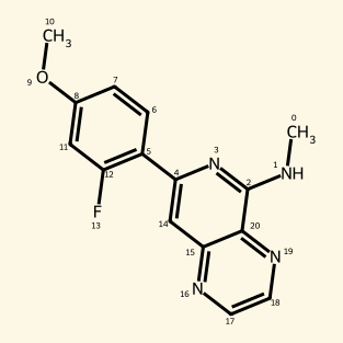 CNc1nc(-c2ccc(OC)cc2F)cc2nccnc12